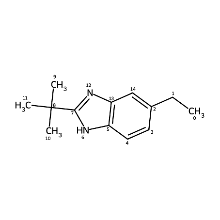 CCc1ccc2[nH]c(C(C)(C)C)nc2c1